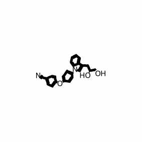 N#Cc1ccc(Oc2ccc(-n3cc(C[C@@H](O)CO)c4ccccc43)cc2)cc1